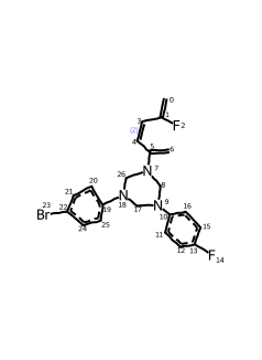 C=C(F)/C=C\C(=C)N1CN(c2ccc(F)cc2)CN(c2ccc(Br)cc2)C1